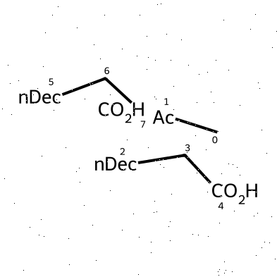 CC(C)=O.CCCCCCCCCCCC(=O)O.CCCCCCCCCCCC(=O)O